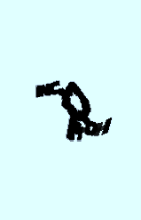 CC(C)c1cc(C#N)ccc1O